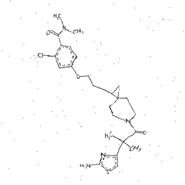 CN(C)C(=O)c1ccc(OCCC2CC23CCN(C(=O)C(C)(C)c2csc(N)n2)CC3)cc1Cl